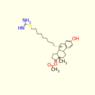 CC(=O)O[C@H]1CCC2C3C(CC[C@@]21C)c1ccc(O)cc1C[C@H]3CCCCCCCCCSC(=N)N